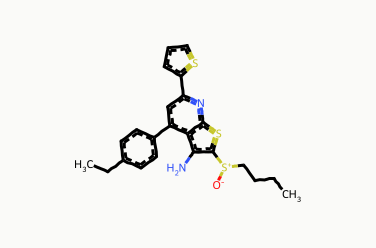 CCCC[S+]([O-])c1sc2nc(-c3cccs3)cc(-c3ccc(CC)cc3)c2c1N